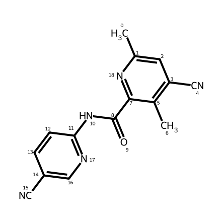 Cc1cc(C#N)c(C)c(C(=O)Nc2ccc(C#N)cn2)n1